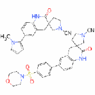 Cn1cccc1-c1ccc2c(c1)CC1(CCN(C#N)C1)C(=O)N2.N#CN1CCC2(Cc3cc(-c4ccc(S(=O)(=O)N5CCOCC5)cc4)ccc3NC2=O)C1